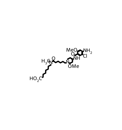 COc1cc(N)c(Cl)cc1C(=O)N[C@@H]1CCN(CCCCCC(=O)N(C)CCCCCCCC(=O)O)C(OC)C1